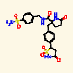 NS(=O)(=O)c1ccc(CNC(=O)C2(Cc3ccc(C4CC(=O)NS4(=O)=O)cc3)CCC(=O)N2)cc1